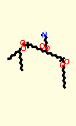 CCCCCCCCCOC(=O)C(C)(C)CCCCCCC(CCCCCCC(C)(C)C(=O)OCC(CCCCC)CCCCCCC)OC(=O)CCCN(C)C